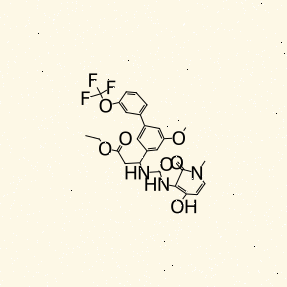 CCOC(=O)CC(NC(=O)Nc1c(O)ccn(C)c1=O)c1cc(OC)cc(-c2cccc(OC(F)(F)F)c2)c1